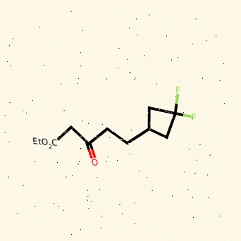 CCOC(=O)CC(=O)CCC1CC(F)(F)C1